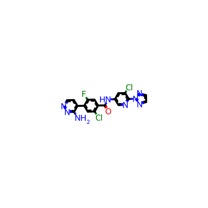 Nc1nnccc1-c1cc(Cl)c(C(=O)Nc2cnc(-n3nccn3)c(Cl)c2)cc1F